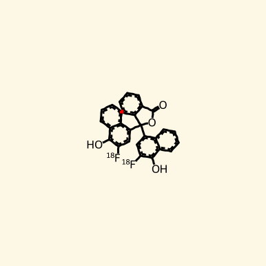 O=C1OC(c2cc([18F])c(O)c3ccccc23)(c2cc([18F])c(O)c3ccccc23)c2ccccc21